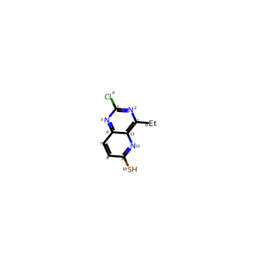 CCc1nc(Cl)nc2ccc(S)nc12